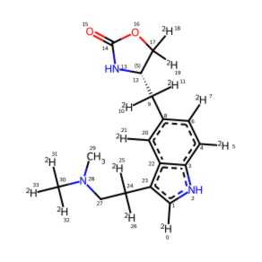 [2H]c1[nH]c2c([2H])c([2H])c(C([2H])([2H])[C@@H]3NC(=O)OC3([2H])[2H])c([2H])c2c1C([2H])([2H])CN(C)C([2H])([2H])[2H]